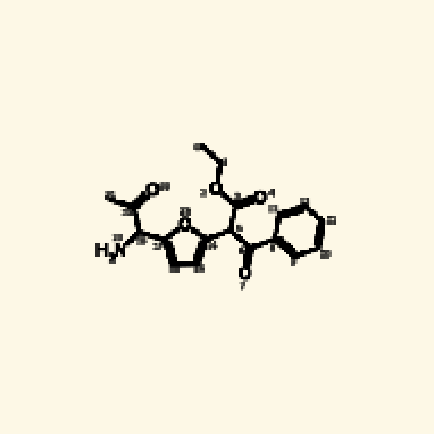 CCOC(=O)C(C(=O)c1ccccc1)c1ccc(C(N)C(C)=O)o1